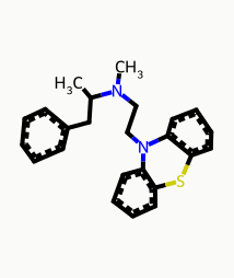 CC(Cc1ccccc1)N(C)CCN1c2ccccc2Sc2ccccc21